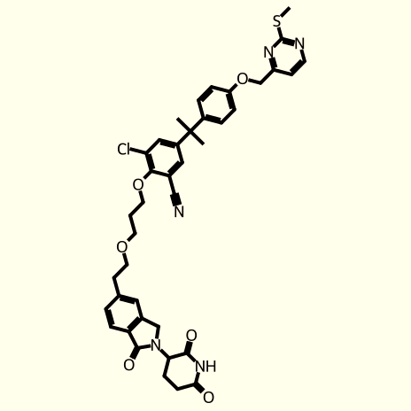 CSc1nccc(COc2ccc(C(C)(C)c3cc(Cl)c(OCCCOCCc4ccc5c(c4)CN(C4CCC(=O)NC4=O)C5=O)c(C#N)c3)cc2)n1